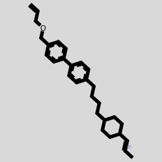 C=CCOCc1ccc(-c2ccc(CCCCC3CCC(/C=C/C)CC3)cc2)cc1